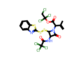 C=C(C)C(C(=O)OC(Cl)(Cl)CCl)N1C(=O)C(NC(=O)C(Cl)(Cl)Cl)C1SSc1nc2ccccc2s1